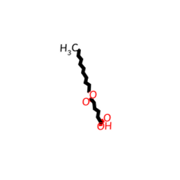 CCCCCCCCCCCOC(=O)CCCCC(=O)O